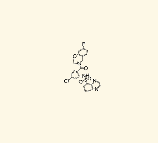 O=C(c1ccc(Cl)cc1NS(=O)(=O)c1cccc2nccnc12)N1CCOc2cc(F)ccc2C1